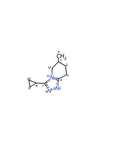 CC1CCc2nnc(C3CC3)n2C1